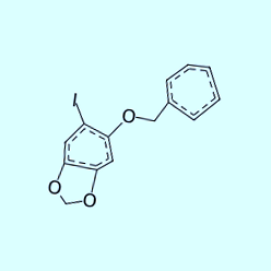 Ic1cc2c(cc1OCc1ccccc1)OCO2